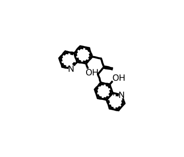 C=C(Cc1ccc2cccnc2c1O)Cc1ccc2cccnc2c1O